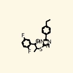 CCc1ccc(-c2nnc(SC(C)C(=O)c3cc(F)ccc3F)[nH]2)cc1